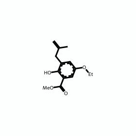 C=C(C)Cc1cc(OCC)cc(C(=O)OC)c1O